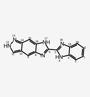 c1ccc2[nH]c(-c3nc4cc5c[nH]nc5cc4[nH]3)nc2c1